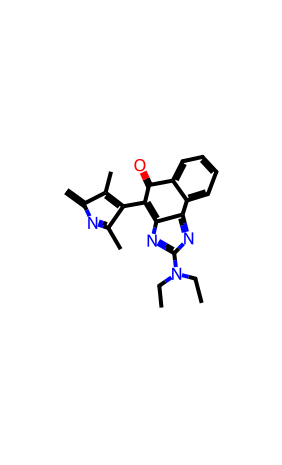 C=C1N=C(C)C(C2=C3N=C(N(CC)CC)N=C3c3ccccc3C2=O)=C1C